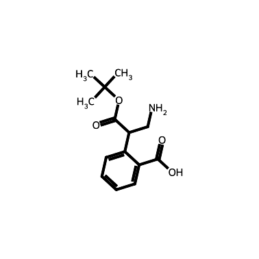 CC(C)(C)OC(=O)C(CN)c1ccccc1C(=O)O